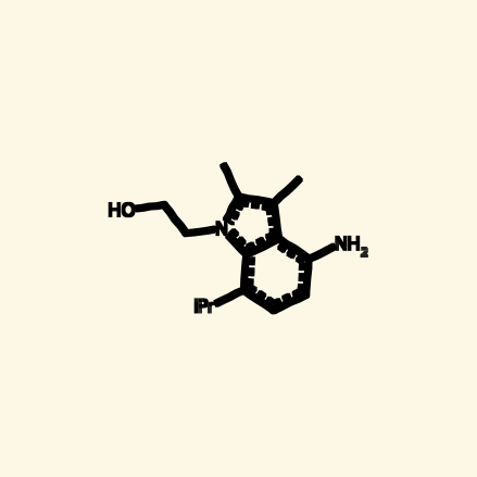 Cc1c(C)n(CCO)c2c(C(C)C)ccc(N)c12